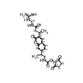 CC(CNC(=O)ON1C(=O)CCC1=O)c1ccc2cc(C(C)CC(=O)NCNC(=N)N)c(=O)oc2c1